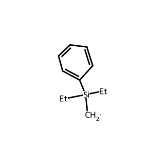 [CH2][Si](CC)(CC)c1ccccc1